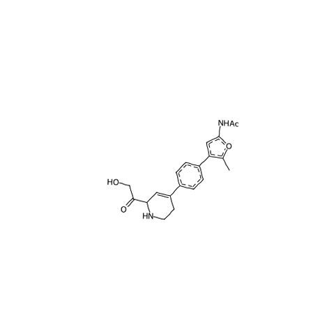 CC(=O)Nc1cc(-c2ccc(C3=CC(C(=O)CO)NCC3)cc2)c(C)o1